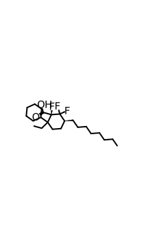 CCCCCCCC[C@H]1CCC(CC)(C2CCCCC2)[C@](F)(C(=O)O)C1(F)F